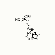 CC(C)(C)N(CCCCNC1CCCc2cccnc21)C(=O)O